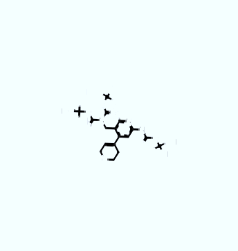 Cc1nc(NC(=O)OC(C)(C)C)cc(C2=CCOCC2)c1CN(C(=O)OC(C)(C)C)C(=O)OC(C)(C)C